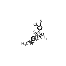 CCn1ncc2cc(N3C(=S)N(c4ccc(C#N)c(Cl)c4)C(=O)C3(C)C)ccc21